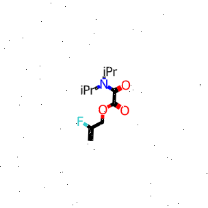 C=C(F)COC(=O)C(=O)N(C(C)C)C(C)C